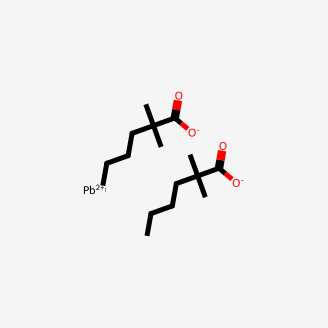 CCCCC(C)(C)C(=O)[O-].CCCCC(C)(C)C(=O)[O-].[Pb+2]